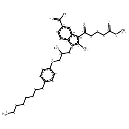 CCCCCCCCc1ccc(OCC(O)Cn2c(C)c(C(=O)CCCC(=O)OC)c3cc(C(=O)O)ccc32)cc1